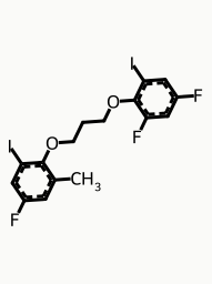 Cc1cc(F)cc(I)c1OCCCOc1c(F)cc(F)cc1I